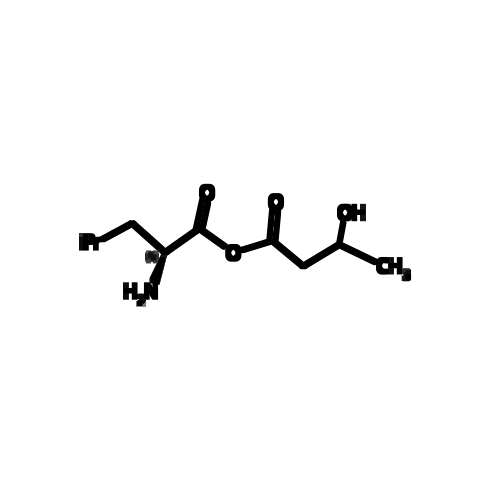 CC(C)C[C@H](N)C(=O)OC(=O)CC(C)O